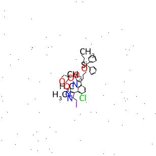 CCCC[Si](OCCCc1c(C(=O)OC)n(C)c2c(-c3c(CI)nn(C)c3COC3CCCCO3)c(Cl)ccc12)(c1ccccc1)c1ccccc1